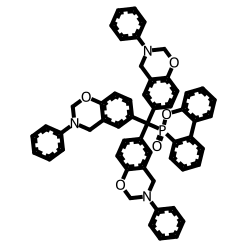 O=P1(C(c2ccc3c(c2)CN(c2ccccc2)CO3)(c2ccc3c(c2)CN(c2ccccc2)CO3)c2ccc3c(c2)CN(c2ccccc2)CO3)Oc2ccccc2-c2ccccc21